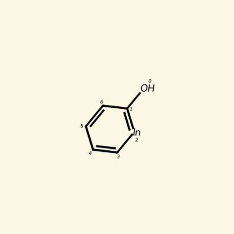 O[C]1=[In][CH]=CC=C1